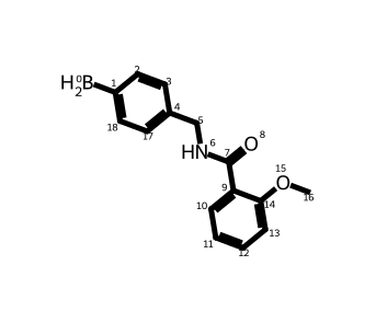 Bc1ccc(CNC(=O)c2ccccc2OC)cc1